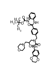 CC(C)(C)OC(=O)Nc1ccccc1NC(=O)c1ccc(CN(CC(O)CN2CCOCC2)C(=O)Nc2ccc3c(c2)OCCO3)cc1